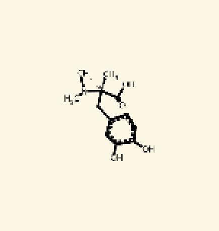 CN(C)[C@@](C)(Cc1ccc(O)c(O)c1)C(=O)O